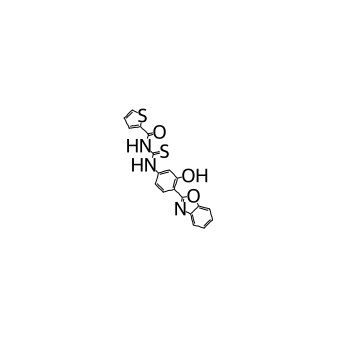 O=C(NC(=S)Nc1ccc(-c2nc3ccccc3o2)c(O)c1)c1cccs1